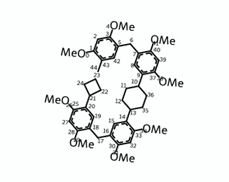 COc1cc(OC)c(Cc2cc(C3CCC(c4cc(Cc5cc(C6CCC6)c(OC)cc5OC)c(OC)cc4OC)CC3)c(OC)cc2OC)cc1C